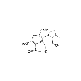 COc1cc(OC)c(C2CCN(C)C2CO)c2c1C(=O)COC2